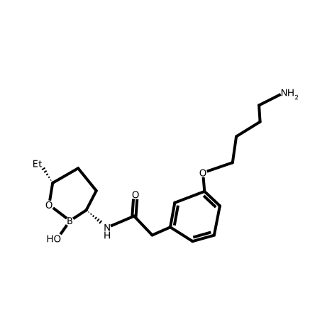 CC[C@@H]1CC[C@H](NC(=O)Cc2cccc(OCCCCN)c2)B(O)O1